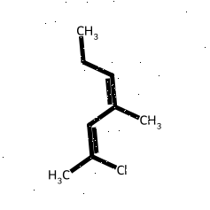 CC/C=C(C)\C=C(\C)Cl